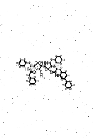 CC(NC(=O)[C@H](Cc1ccccc1)NC(=O)Cc1ccccc1)C(=O)C(=O)N[C@@H](CC1CCCCC1)C(=O)N[C@@H](Cc1ccc(-c2ccccc2)cc1)C(N)=O